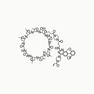 C=CC(=O)N1CCN(c2nc(NCCC(=O)N3CCN(C(=O)CCC[C@@H](C)[C@@H](O)C4C(=O)N[C@@H](CC)C(=O)N(C)CC(=O)N(C)[C@@H](CC(C)C)C(=O)N[C@@H](C(C)C)C(=O)N(C)[C@@H](CC(C)C)C(=O)N[C@@H](C)C(=O)N[C@H](C)C(=O)N(C)[C@@H](CC(C)C)C(=O)N(C)[C@@H](CC(C)C)C(=O)N(C)[C@@H](C(C)C)C(=O)N4C)CC3)nc3c4c(c(Cl)cc23)-c2c(F)cccc2OC4)CC1